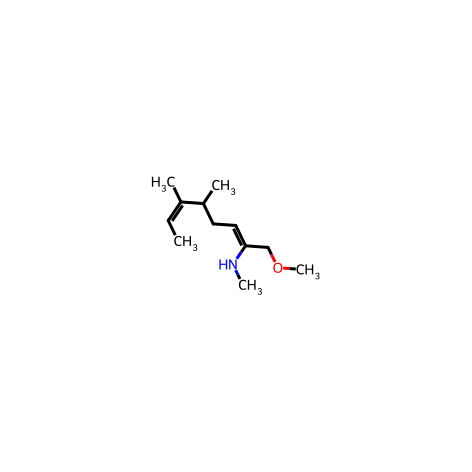 C/C=C(/C)C(C)C/C=C(/COC)NC